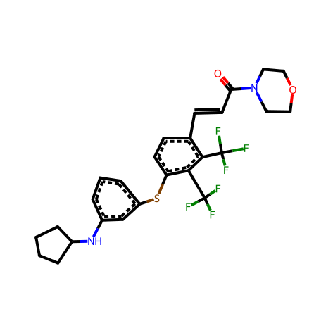 O=C(C=Cc1ccc(Sc2cccc(NC3CCCC3)c2)c(C(F)(F)F)c1C(F)(F)F)N1CCOCC1